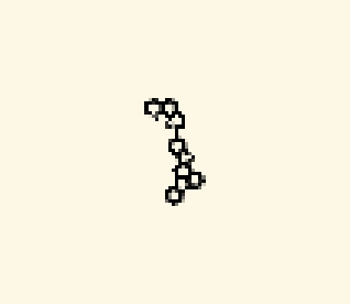 c1ccc2c(c1)-c1cccc3c1c-2cc1c2ccc(-c4ccc5ccc6cccnc6c5n4)cc2sc31